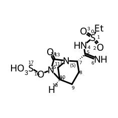 CCS(=O)(=O)NC(=N)[C@@H]1CC[C@@H]2CN1C(=O)N2OS(=O)(=O)O